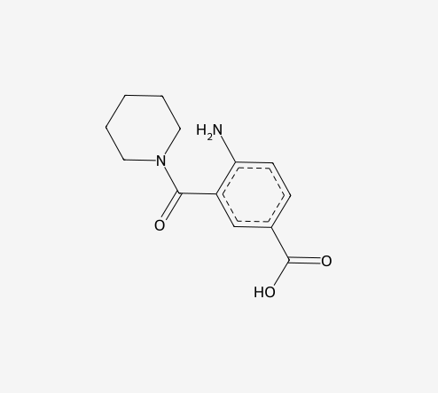 Nc1ccc(C(=O)O)cc1C(=O)N1CCCCC1